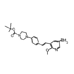 Bc1cnc(OC)c(/C=C/c2ccc(N3CCN(C(=O)OC(C)(C)C)CC3)cc2)c1